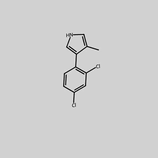 Cc1c[nH]cc1-c1ccc(Cl)cc1Cl